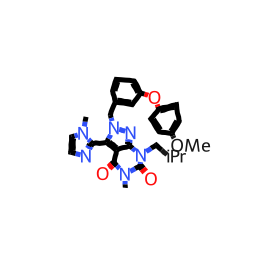 COc1ccc(Oc2cccc(Cn3nc4c(c3-c3nccn3C)c(=O)n(C)c(=O)n4CC(C)C)c2)cc1